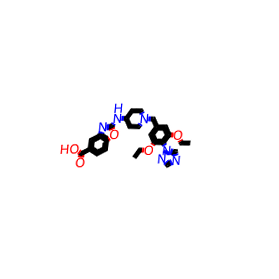 CCOc1cc(CN2CCC(Nc3nc4cc(C(=O)O)ccc4o3)CC2)cc(OCC)c1-n1cncn1